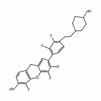 CCCc1ccc2c(c1F)Oc1c(cc(-c3ccc(CCC4CCC(CCC)CC4)c(F)c3F)c(F)c1F)C2